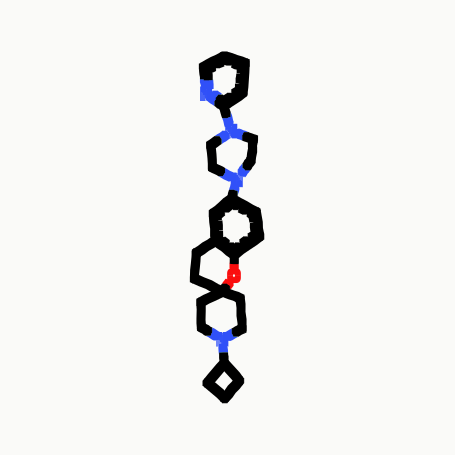 c1ccc(N2CCN(c3ccc4c(c3)CCC3(CCN(C5CCC5)CC3)O4)CC2)nc1